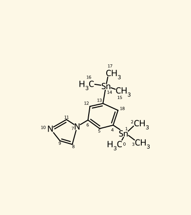 [CH3][Sn]([CH3])([CH3])[c]1cc(-n2ccnc2)c[c]([Sn]([CH3])([CH3])[CH3])c1